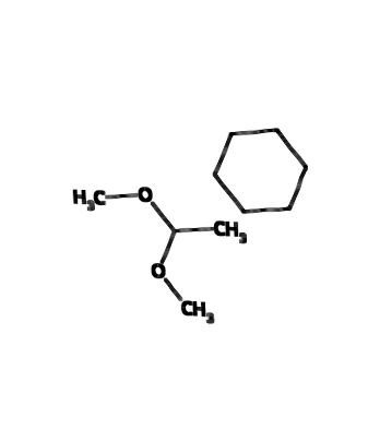 C1CCCCC1.COC(C)OC